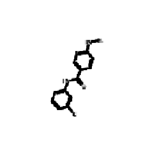 CCNc1ccc(C(=O)Nc2cccc(Cl)c2)cn1